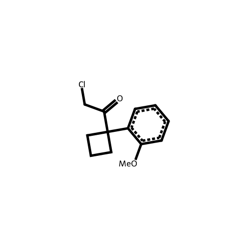 COc1ccccc1C1(C(=O)CCl)CCC1